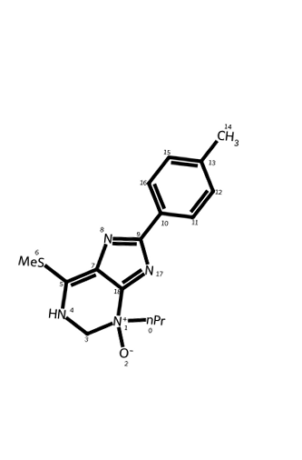 CCC[N+]1([O-])CNC(SC)=C2N=C(c3ccc(C)cc3)N=C21